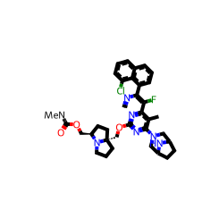 C=N/C(=C(/F)c1nc(OC[C@]23CCCN2[C@@H](COC(=O)NC)CC3)nc(N2CC3CCC(C2)N3)c1C)c1cccc2cccc(Cl)c12